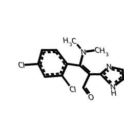 CN(C)C(=C(C=O)c1ncc[nH]1)c1ccc(Cl)cc1Cl